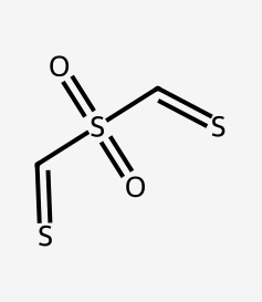 O=S(=O)(C=S)C=S